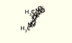 Cc1cn2ccc(N3CCN(C(C)c4nc5c(cc4F)OCCO5)CC3)cc2n1